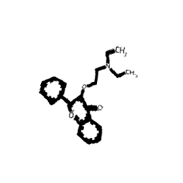 CCN(CC)CCOc1c(-c2ccccc2)oc2ccccc2c1=O